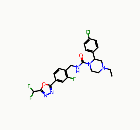 CCN1CCN(C(=O)NCc2ccc(-c3nnc(C(F)F)o3)cc2F)C(c2ccc(Cl)cc2)C1